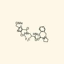 COCc1nc(C)c(C(=O)NCC(C(=O)N[C@@H]2C(=O)N3CCCN3Cc3ccccc32)C(F)(F)F)s1